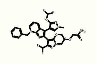 Cn1cc(-c2c3cccn(Cc4ccccc4)c-3nc2-c2c(C(F)F)nn3c2OC[C@@H](OCC(N)=O)C3)c(OC(F)F)n1